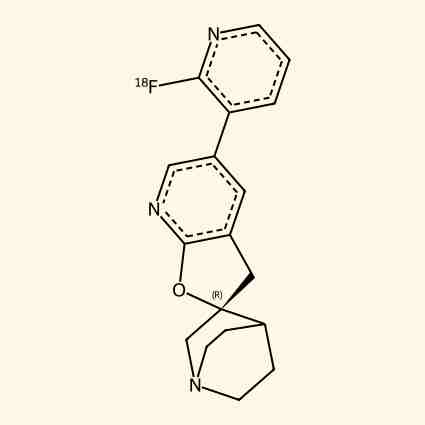 [18F]c1ncccc1-c1cnc2c(c1)C[C@@]1(CN3CCC1CC3)O2